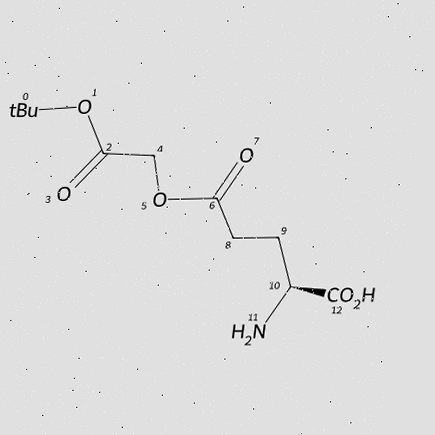 CC(C)(C)OC(=O)COC(=O)CC[C@H](N)C(=O)O